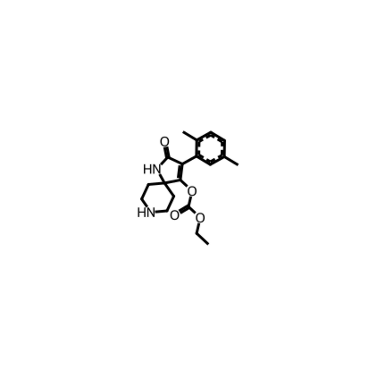 CCOC(=O)OC1=C(c2cc(C)ccc2C)C(=O)NC12CCNCC2